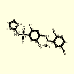 N[C@H](Nc1cc(F)c(S(=O)(=O)Nc2nccs2)cc1Cl)c1cc(F)ccc1F